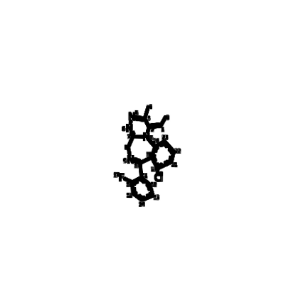 CC=C1C(C)=NN=C2CN=C(c3ccccc3F)c3c(Cl)cccc3N12